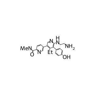 CCc1c(-c2ccc(C(=O)NC)nc2)cnc(NCCN)c1-c1ccc(O)cc1